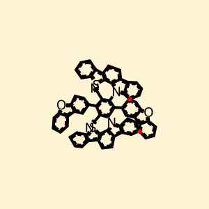 N#Cc1c(-c2ccc3oc4ccccc4c3c2)c(C#N)c(-n2c3ccccc3c3ccc4c5ccccc5sc4c32)c(-c2ccc3oc4ccccc4c3c2)c1-n1c2ccccc2c2ccc3c4ccccc4sc3c21